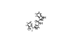 O=C(Nc1cnn(Cc2ccccc2C(F)(F)F)c1)c1n[nH]c2ccccc12